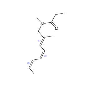 C\C=C/C=C\C=C(/C)CN(C)C(=O)CC